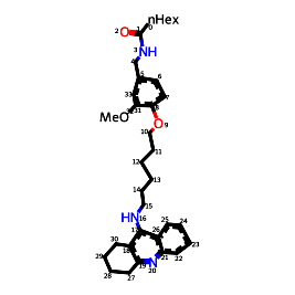 CCCCCCC(=O)NCc1ccc(OCCCCCCNc2c3c(nc4ccccc24)CCCC3)c(OC)c1